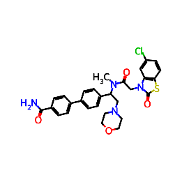 CN(C(=O)Cn1c(=O)sc2ccc(Cl)cc21)C(CN1CCOCC1)c1ccc(-c2ccc(C(N)=O)cc2)cc1